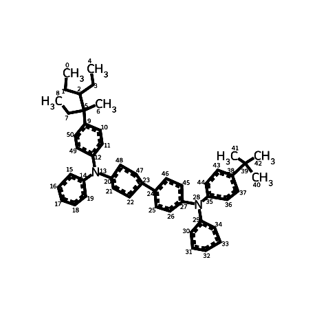 CCC(CC)C(C)(CC)c1ccc(N(c2ccccc2)c2ccc(-c3ccc(N(c4ccccc4)c4ccc(C(C)(C)C)cc4)cc3)cc2)cc1